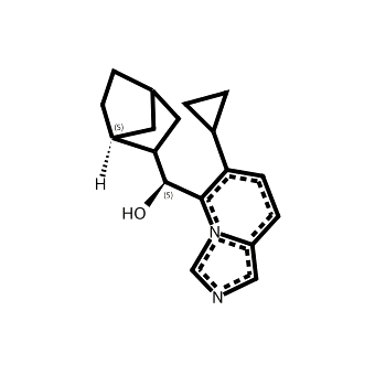 O[C@H](c1c(C2CC2)ccc2cncn12)C1CC2CC[C@H]1C2